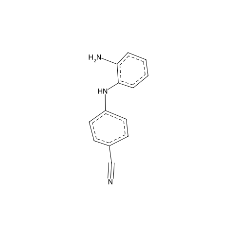 N#Cc1ccc(Nc2ccccc2N)cc1